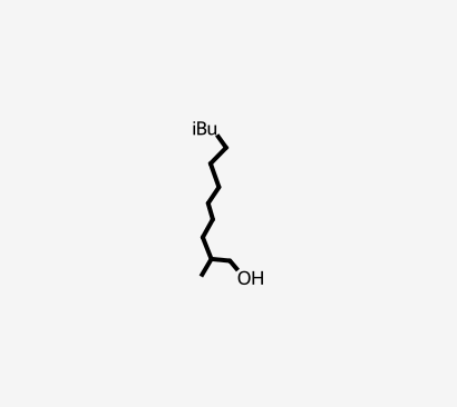 CCC(C)CCCCCCC(C)CO